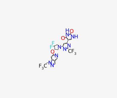 O=c1[nH]cc(-c2cc(N3C[C@H](Oc4cc5c(cn4)cnn5CC(F)(F)F)C(F)(F)C3)nc(C(F)(F)F)n2)c(=O)[nH]1